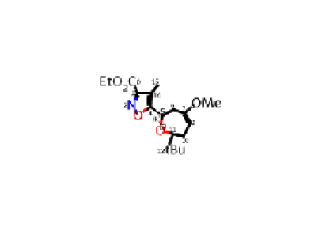 CCOC(=O)c1noc([C@H]2CC(OC)=CCC(C(C)(C)C)O2)c1C